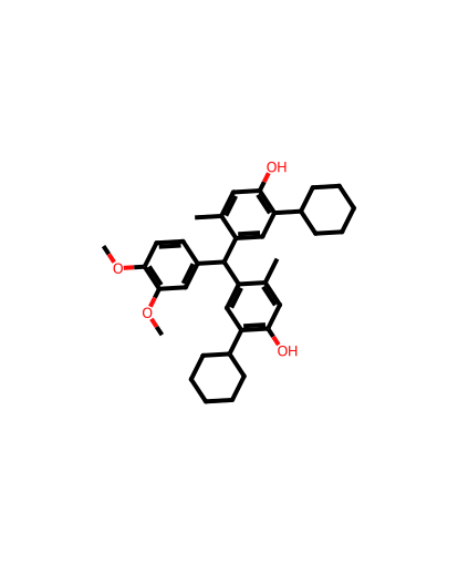 COc1ccc(C(c2cc(C3CCCCC3)c(O)cc2C)c2cc(C3CCCCC3)c(O)cc2C)cc1OC